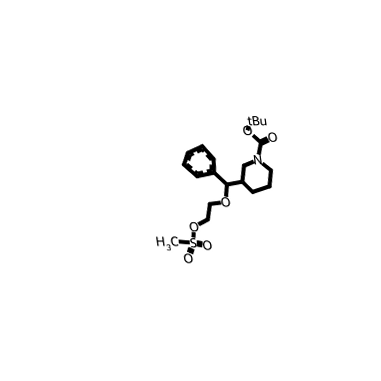 CC(C)(C)OC(=O)N1CCCC(C(OCCOS(C)(=O)=O)c2ccccc2)C1